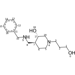 OCCCN1CC[C@@H](CNCc2ccccc2)[C@H](O)C1